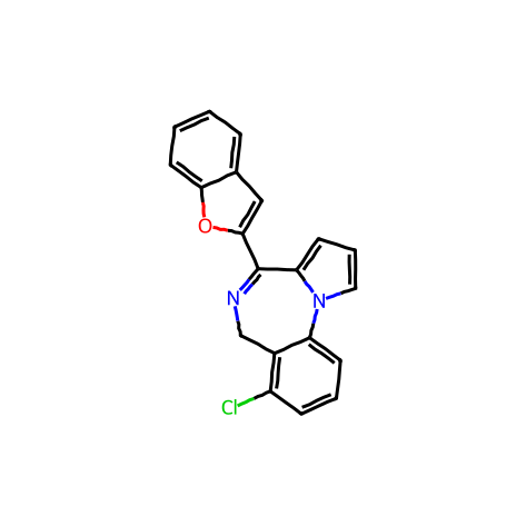 Clc1cccc2c1CN=C(c1cc3ccccc3o1)c1cccn1-2